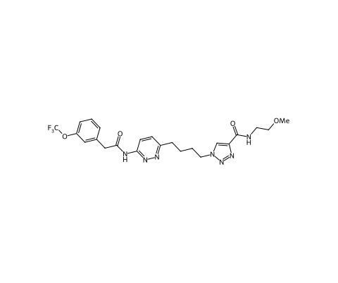 COCCNC(=O)c1cn(CCCCc2ccc(NC(=O)Cc3cccc(OC(F)(F)F)c3)nn2)nn1